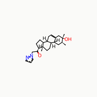 C[C@H]1C[C@H]2C(=CC[C@@H]3[C@@H]2CC[C@]2(C)[C@@H](C(=O)Cn4cccn4)CC[C@@H]32)C[C@]1(C)O